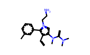 C=Cc1c(N(C)C(=C)N(C)C)cn(CCN)c1-c1cccc(C)c1